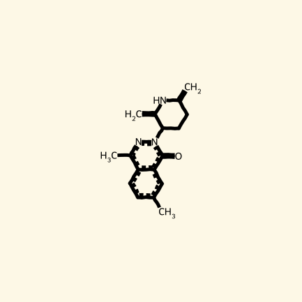 C=C1CCC(n2nc(C)c3ccc(C)cc3c2=O)C(=C)N1